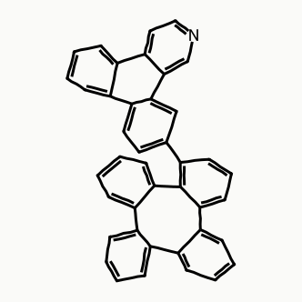 c1ccc2c(c1)-c1ccccc1-c1cccc(-c3ccc4c5ccccc5c5ccncc5c4c3)c1-c1ccccc1-2